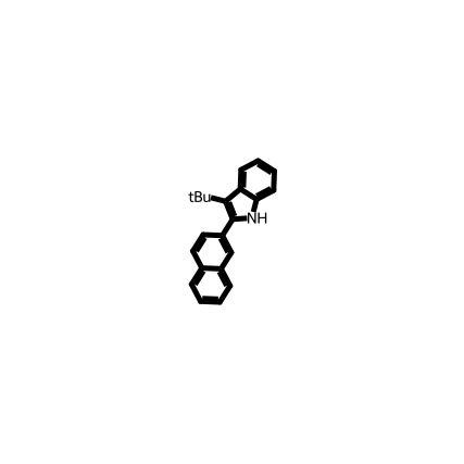 CC(C)(C)c1c(-c2ccc3ccccc3c2)[nH]c2ccccc12